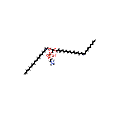 CCCCCCCC/C=C\CCCCCCCCCCCCCC(=O)O[C@H](CO/C=C\CCCCCCCCCCCCCCCC)COP(=O)(O)OCC[N+](C)(C)C